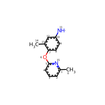 Cc1cccc(Oc2ccc([NH])cc2C)n1